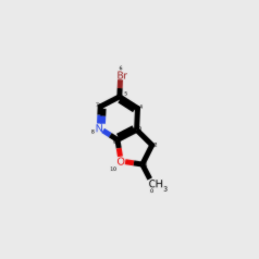 CC1Cc2cc(Br)cnc2O1